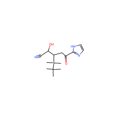 CC(C)(C)[Si](C)(C)C(CC(=O)c1ncc[nH]1)C(O)C#N